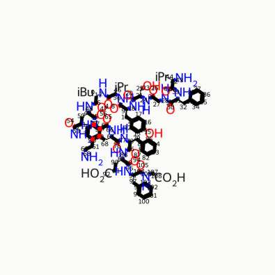 CC[C@H](C)[C@H](NC(=O)[C@@H](NC(=O)[C@H](Cc1ccc(O)cc1)NC(=O)[C@H](CO)NC(=O)CNC(=O)[C@H](Cc1ccccc1)NC(=O)[C@@H](N)C(C)C)C(C)C)C(=O)N[C@@H](CCC(N)=O)C(=O)N[C@@H](CCCCN)C(=O)N[C@@H](Cc1ccccc1)C(=O)N[C@@H](Cc1ccccc1)C(=O)N[C@@H](CCC(=O)O)C(=O)N[C@@H](Cc1ccccc1)C(=O)NCC(=O)O